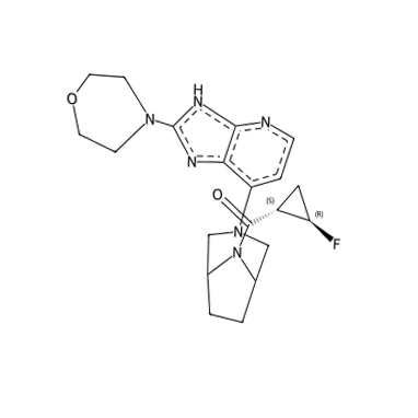 O=C([C@@H]1C[C@H]1F)N1C2CCC1CN(c1ccnc3[nH]c(N4CCOCC4)nc13)C2